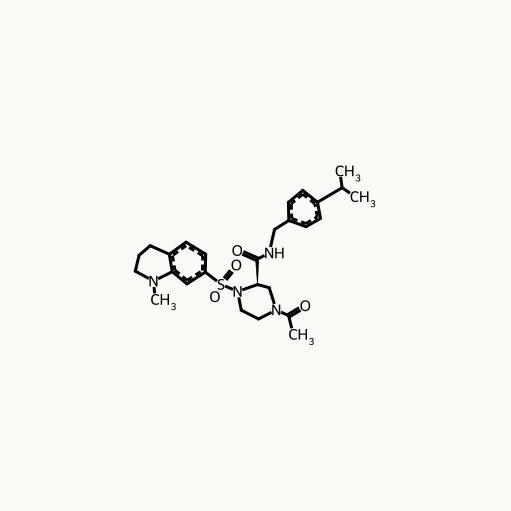 CC(=O)N1CCN(S(=O)(=O)c2ccc3c(c2)N(C)CCC3)[C@@H](C(=O)NCc2ccc(C(C)C)cc2)C1